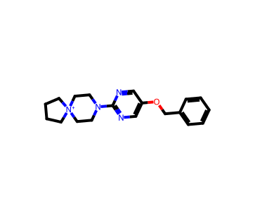 c1ccc(COc2cnc(N3CC[N+]4(CCCC4)CC3)nc2)cc1